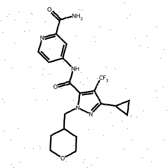 NC(=O)c1cc(NC(=O)c2c(C(F)(F)F)c(C3CC3)nn2CC2CCOCC2)ccn1